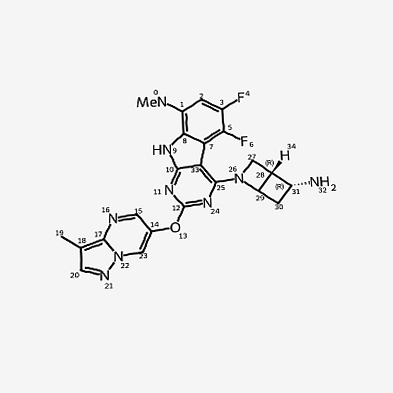 CNc1cc(F)c(F)c2c1[nH]c1nc(Oc3cnc4c(C)cnn4c3)nc(N3C[C@H]4C3C[C@H]4N)c12